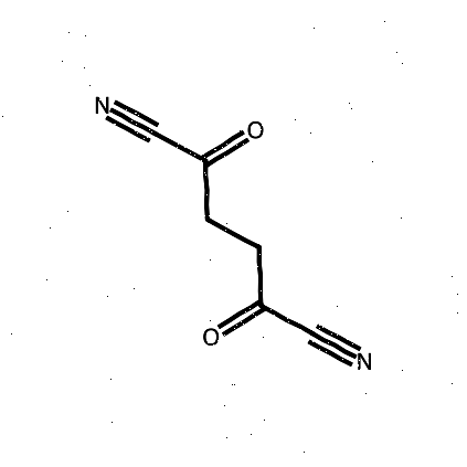 N#CC(=O)CCC(=O)C#N